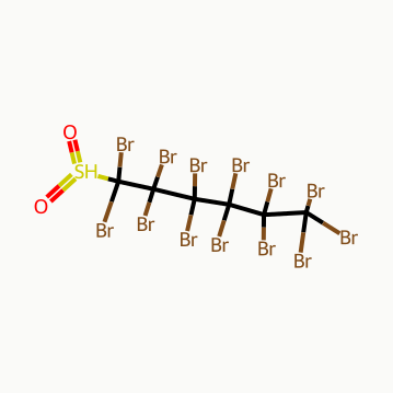 O=[SH](=O)C(Br)(Br)C(Br)(Br)C(Br)(Br)C(Br)(Br)C(Br)(Br)C(Br)(Br)Br